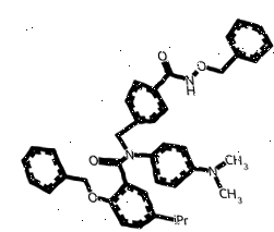 CC(C)c1ccc(OCc2ccccc2)c(C(=O)N(Cc2ccc(C(=O)NOCc3ccccc3)cc2)c2ccc(N(C)C)cc2)c1